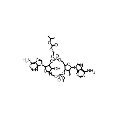 COP1(=O)OC[C@H]2OC(n3cnc4c(N)ncnc43)C(OP(=O)(OCOC(=O)OC(C)C)OCC3OC(n4cnc5c(N)ncnc54)C(F)C3O1)C2O